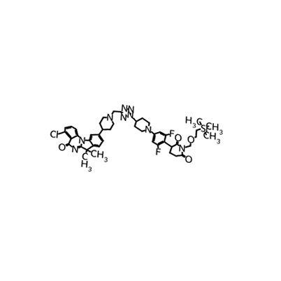 CC1(C)c2ccc(C3CCN(Cc4nnn(C5CCN(c6cc(F)c(C7CCC(=O)N(COCC[Si](C)(C)C)C7=O)c(F)c6)CC5)n4)CC3)cc2-n2c1nc(=O)c1c(Cl)cccc12